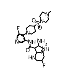 CN1CCN(S(=O)(=O)C2CCN(c3c(F)cncc3NC(=O)C3C(N)NN4CC(F)CNC34)CC2)CC1